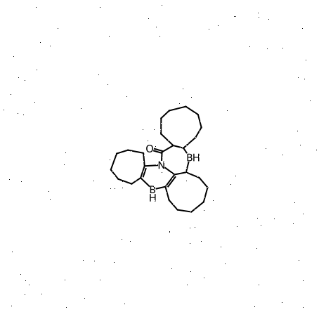 O=C1C2CCCCCCCC2BC2CCCCCCC3=C2N1C1=C(B3)CCCCCC1